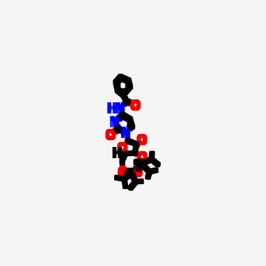 CC(C)[Si]1(C(C)C)OC[C@H]2O[C@@H](n3ccc(NC(=O)c4ccccc4)nc3=O)C(=O)C2O[Si](C(C)C)(C(C)C)O1